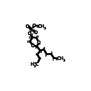 CCCCCC(CCC)C1OCC(OS(=O)(=O)OC)CO1